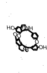 CN1CCc2cc3c4cc2[C@@H]1Cc1ccc(O)c(c1)Oc1ccc(cc1)C[C@@H]1NCCc2cc(O)c(c(c21)O4)O3